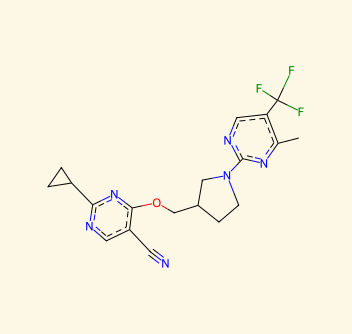 Cc1nc(N2CCC(COc3nc(C4CC4)ncc3C#N)C2)ncc1C(F)(F)F